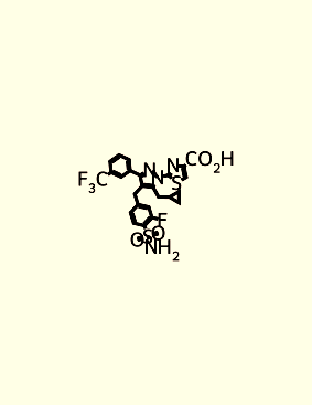 NS(=O)(=O)c1ccc(Cc2c(-c3cccc(C(F)(F)F)c3)nn(-c3nc(C(=O)O)cs3)c2CC2CC2)cc1F